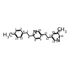 Cc1ccc(CCc2ccc(CCc3cncc(C)c3)cn2)cc1